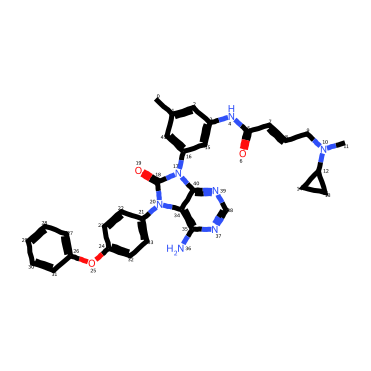 Cc1cc(NC(=O)C=CCN(C)C2CC2)cc(-n2c(=O)n(-c3ccc(Oc4ccccc4)cc3)c3c(N)ncnc32)c1